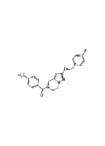 Cc1ccc(C(=O)N2CCn3nc(OCc4ccc(F)cc4)cc3C2)cc1